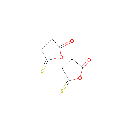 O=C1CCC(=S)O1.O=C1CCC(=S)O1